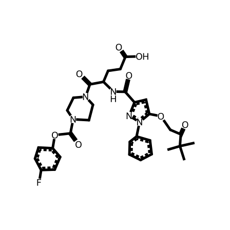 CC(C)(C)C(=O)COc1cc(C(=O)NC(CCC(=O)O)C(=O)N2CCN(C(=O)Oc3ccc(F)cc3)CC2)nn1-c1ccccc1